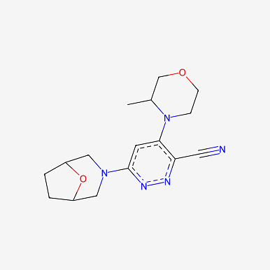 CC1COCCN1c1cc(N2CC3CCC(C2)O3)nnc1C#N